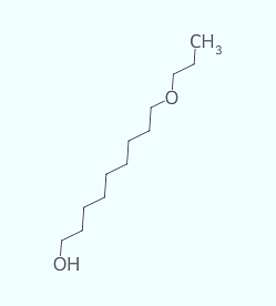 CCCOCCCCCCCCCO